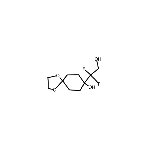 OCC(F)(F)C1(O)CCC2(CC1)OCCO2